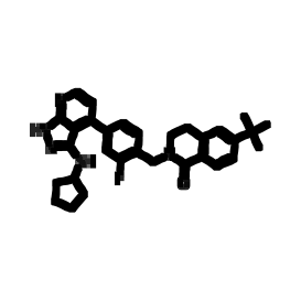 CC(C)(C)c1ccc2c(c1)CCN(Cc1ccc(-c3ccnc4[nH]nc(NC5CCCC5)c34)cc1F)C2=O